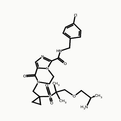 C[C@@H](N)COCC(C)(C)S(=O)(=O)C1(CN2CCn3c(cnc3C(=O)NCc3ccc(Cl)cc3)C2=O)CC1